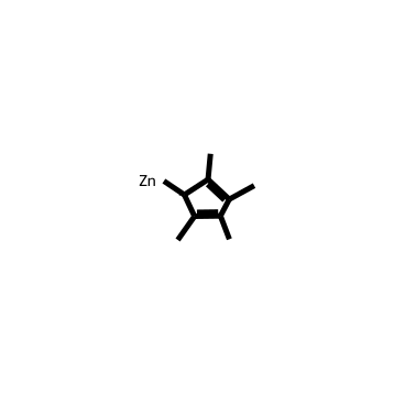 C[C]1C(C)=C(C)C(C)=C1C.[Zn]